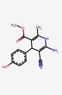 COC(=O)C1=C(C)NC(N)=C(C#N)C1c1ccc(O)cc1